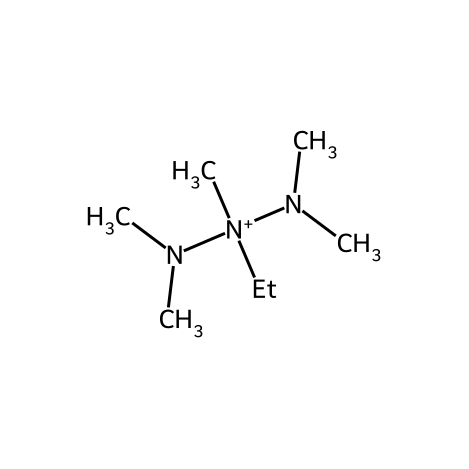 CC[N+](C)(N(C)C)N(C)C